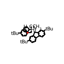 CC(C)(C)c1ccc([CH]=[Hf]([CH3])([CH3])([CH]2C=CC=C2)[CH]2c3cc(C(C)(C)C)ccc3-c3ccc(C(C)(C)C)cc32)cc1